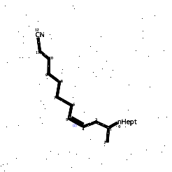 CCCCCCCC(C)C/C=C\CCCCCCC#N